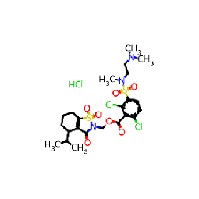 CC(C)C1CCCC2=C1C(=O)N(COC(=O)c1c(Cl)ccc(S(=O)(=O)N(C)CCN(C)C)c1Cl)S2(=O)=O.Cl